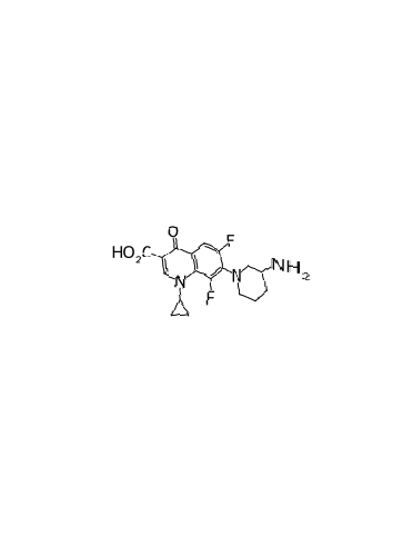 NC1CCCN(c2c(F)cc3c(=O)c(C(=O)O)cn(C4CC4)c3c2F)C1